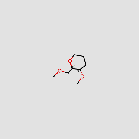 COC[C@H]1OCCC[C@@H]1OC